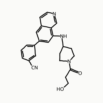 N#Cc1cccc(-c2cc(NC3CCN(C(=O)CCO)CC3)c3cnccc3c2)c1